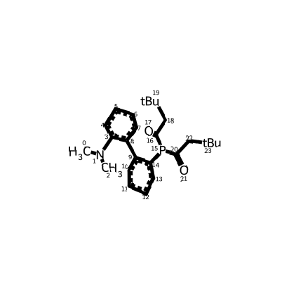 CN(C)c1ccccc1-c1ccccc1P(C(=O)CC(C)(C)C)C(=O)CC(C)(C)C